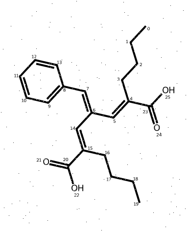 CCCCC(=CC(=Cc1ccccc1)C=C(CCCC)C(=O)O)C(=O)O